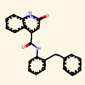 O=C(Nc1ccccc1Cc1ccccc1)c1cc(=O)[nH]c2ccccc12